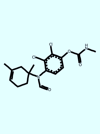 CNC(=O)Oc1ccc(N(C=O)C2(C)CCC=C(C)C2)c(Cl)c1Cl